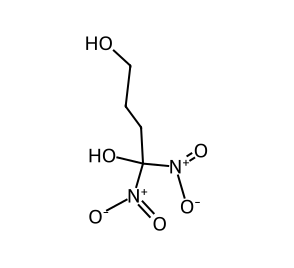 O=[N+]([O-])C(O)(CCCO)[N+](=O)[O-]